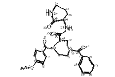 COc1ccc(C(=O)N2CCN(C(=O)c3ccccc3)CC2C(=O)NC2CCCNC2=O)cc1